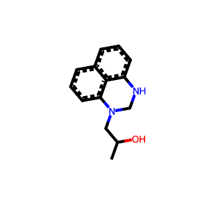 CC(O)CN1CNc2cccc3cccc1c23